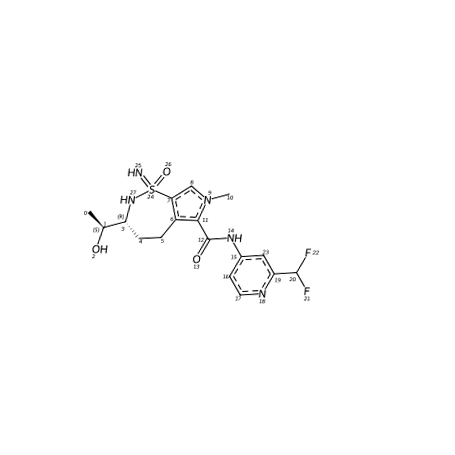 C[C@H](O)[C@H]1CCc2c(cn(C)c2C(=O)Nc2ccnc(C(F)F)c2)S(=N)(=O)N1